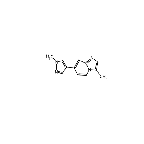 Cc1cnc2cc(-c3cnn(C)c3)ccn12